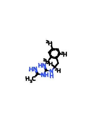 [2H]c1cc([2H])c(CC([2H])([2H])NC(=N)NC(C)=N)c([2H])c1